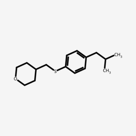 CC(C)Cc1ccc(SCC2CCOCC2)cc1